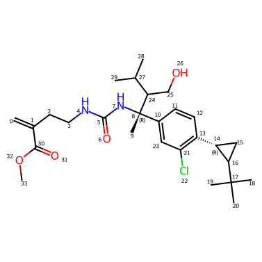 C=C(CCNC(=O)N[C@@](C)(c1ccc([C@@H]2CC2C(C)(C)C)c(Cl)c1)C(CO)C(C)C)C(=O)OC